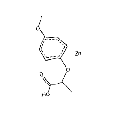 COc1ccc(OC(C)C(=O)O)cc1.[Zn]